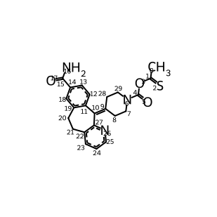 CC(=S)OC(=O)N1CCC(=C2c3ccc(C(N)=O)cc3CCc3cccnc32)CC1